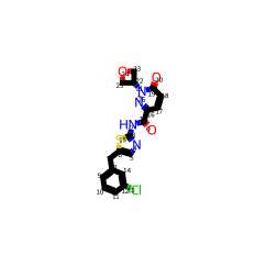 O=C(Nc1ncc(Cc2cccc(Cl)c2)s1)c1ccc(=O)n(C2COC2)n1